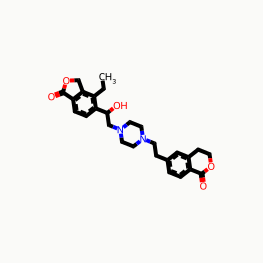 CCc1c(C(O)CN2CCN(CCc3ccc4c(c3)CCOC4=O)CC2)ccc2c1COC2=O